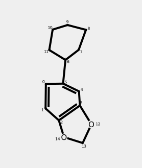 c1cc2c(cc1[C]1CCCCC1)OCO2